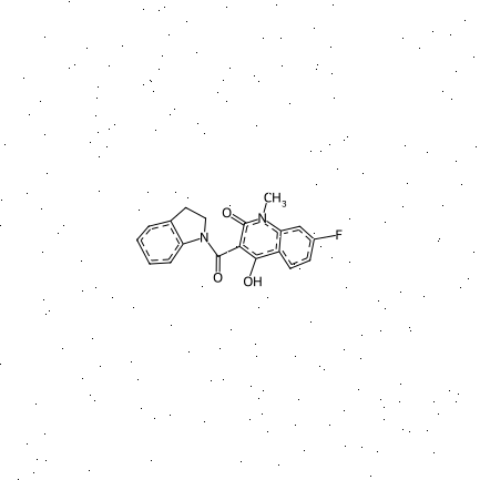 Cn1c(=O)c(C(=O)N2CCc3ccccc32)c(O)c2ccc(F)cc21